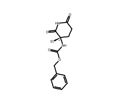 CC[C@]1(NC(=O)OCc2ccccc2)CCC(=O)NC1=O